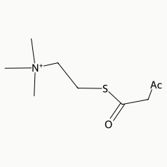 CC(=O)CC(=O)SCC[N+](C)(C)C